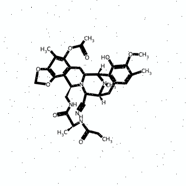 CCC(=O)N[C@@H](C)C(=O)NC[C@H]1c2c(c(OC(C)=O)c(C)c3c2OCO3)CC2[C@@H]3c4c(cc(C)c(OC)c4O)C[C@H](C(C#N)N21)N3C